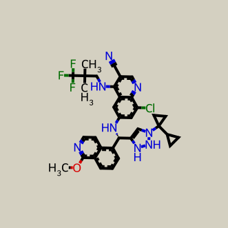 COc1nccc2c([C@H](Nc3cc(Cl)c4ncc(C#N)c(NCC(C)(C)C(F)(F)F)c4c3)C3=CN(C4(C5CC5)CC4)NN3)cccc12